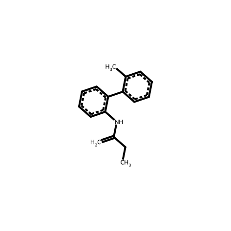 C=C(CC)Nc1ccccc1-c1ccccc1C